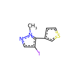 Cn1ncc(I)c1-c1ccsc1